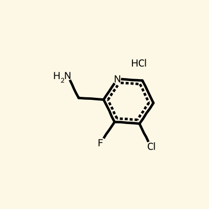 Cl.NCc1nccc(Cl)c1F